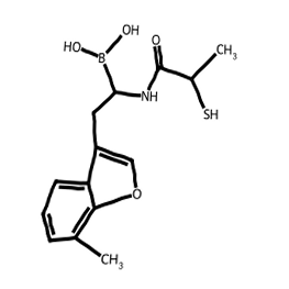 Cc1cccc2c(CC(NC(=O)C(C)S)B(O)O)coc12